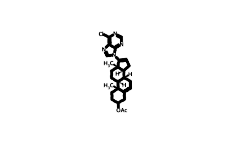 CC(=O)OC1CC[C@@]2(C)C(=CC[C@@H]3[C@@H]2CC[C@]2(C)C(n4cnc5c(Cl)ncnc54)=CC[C@@H]32)C1